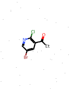 CCC(=O)c1cc(Br)cnc1Cl